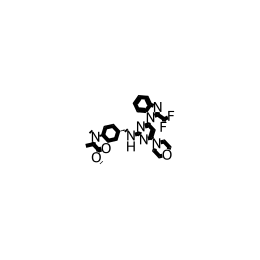 COC(=O)C(C)N(C)[C@H]1CC[C@H](CNc2nc(N3CCOCC3)cc(-n3c(C(F)F)nc4ccccc43)n2)CC1